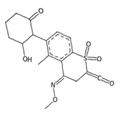 CON=C1CC(=C=O)S(=O)(=O)c2ccc(C3C(=O)CCCC3O)c(C)c21